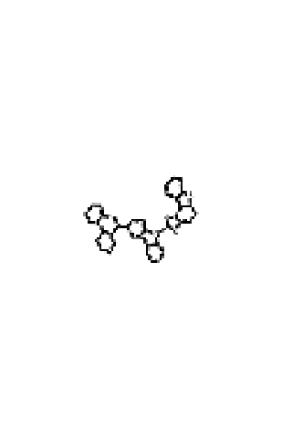 c1ccc2c(c1)cc(-c1ccc3c(c1)c1ccccc1n3-c1nc3c(ccc4sc5ccccc5c43)s1)c1ccccc12